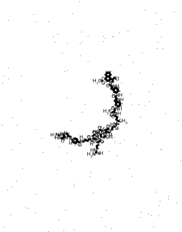 CC(=O)Oc1cc2c(c3ccccc13)C(CCl)CN2C(=O)c1cc2cc(NC(=O)c3cc4cc(NC(=O)[C@@H](NC(=O)CC/C(C)=N\NC(=O)CCN5C(=O)CC(S[C@H](NC(=O)[C@H](CC(=O)O)NC(=O)[C@H](CCCNC(=N)N)NC(=O)[C@H](CC(=O)O)NC(=O)CCCNC(=O)c6ccc(NCc7cnc8nc(N)[nH]c(=O)c8n7)cc6)C(=O)O)C5=O)C(C)C)ccc4[nH]3)ccc2[nH]1